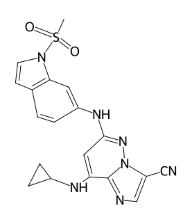 CS(=O)(=O)n1ccc2ccc(Nc3cc(NC4CC4)c4ncc(C#N)n4n3)cc21